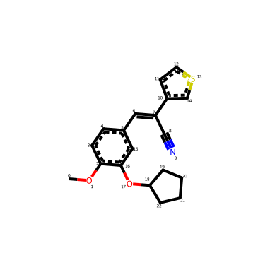 COc1ccc(C=C(C#N)c2ccsc2)cc1OC1CCCC1